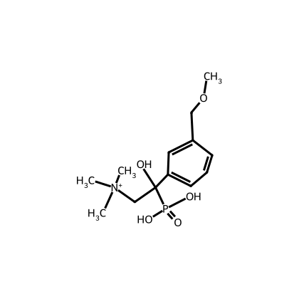 COCc1cccc(C(O)(C[N+](C)(C)C)P(=O)(O)O)c1